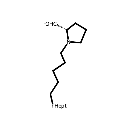 CCCCCCCCCCCCN1CCC[C@H]1[C]=O